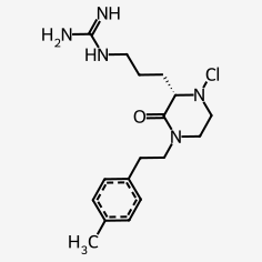 Cc1ccc(CCN2CCN(Cl)[C@@H](CCCNC(=N)N)C2=O)cc1